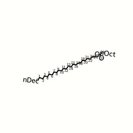 CCCCCCCCCCCCCCCCCCCCCCCCCCCCCCCCCCOC(=O)CCCCCCCC